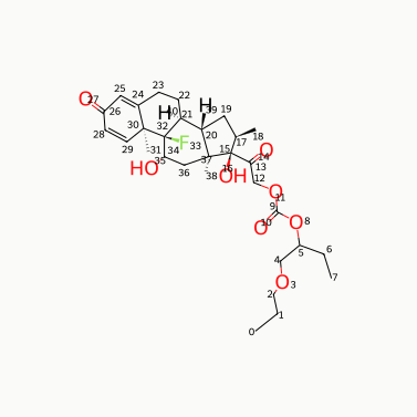 CCCOCC(CC)OC(=O)OCC(=O)[C@@]1(O)[C@H](C)C[C@H]2[C@@H]3CCC4=CC(=O)C=C[C@]4(C)[C@@]3(F)[C@@H](O)C[C@@]21C